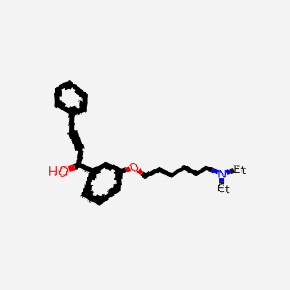 CCN(CC)CCCCCCOc1cccc(C(O)C#Cc2ccccc2)c1